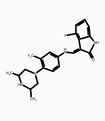 CC1CN(c2ccc(N/C=C3/C(=O)Nc4cccc(F)c43)cc2C(F)(F)F)CC(C)N1